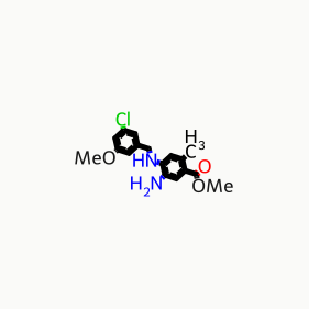 COC(=O)c1cc(N)c(NCc2cc(Cl)cc(OC)c2)cc1C